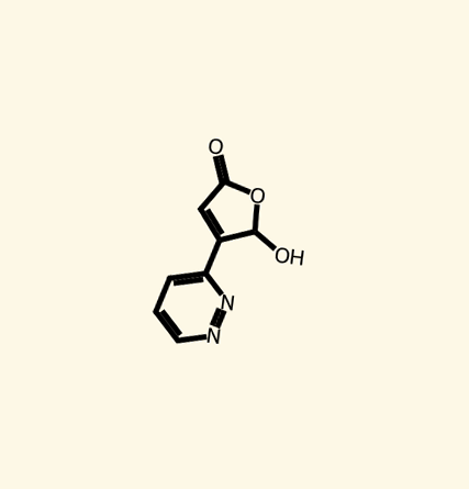 O=C1C=C(c2cccnn2)C(O)O1